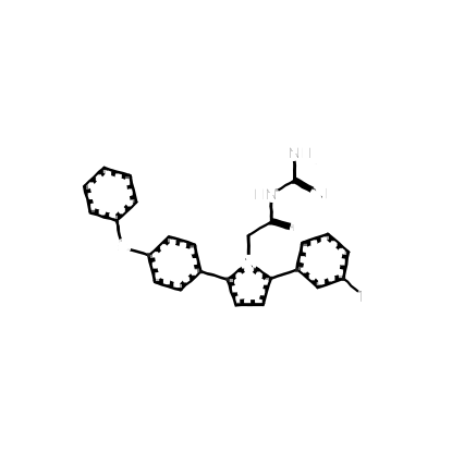 N=C(N)NC(=O)Cn1c(-c2ccc(Oc3ccccc3)cc2)ccc1-c1cccc(F)c1